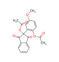 COc1ccc(OC(C)=O)c(C2(OC(C)=O)C(=O)c3ccccc3C2=O)c1